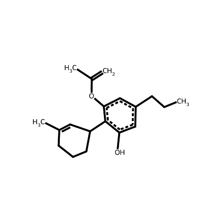 C=C(C)Oc1cc(CCC)cc(O)c1C1C=C(C)CCC1